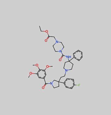 CCOC(=O)CN1CCN(C(=O)NC2(c3ccccc3)CCN(CCC3(c4ccc(F)cc4)CCN(C(=O)c4cc(OC)c(OC)c(OC)c4)C3)CC2)CC1